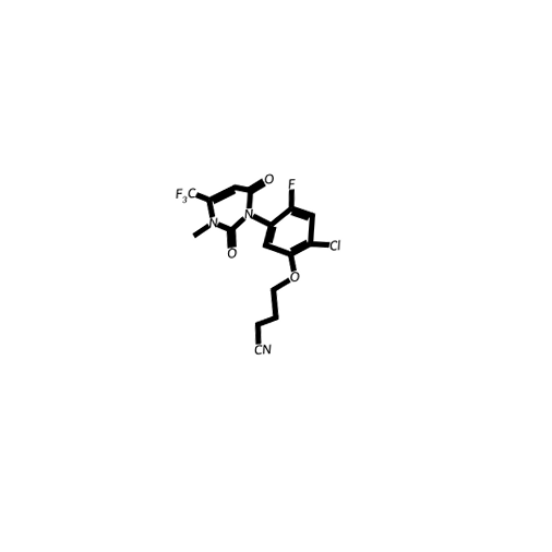 Cn1c(C(F)(F)F)cc(=O)n(-c2cc(OCCCC#N)c(Cl)cc2F)c1=O